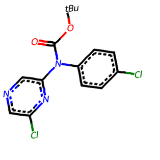 CC(C)(C)OC(=O)N(c1ccc(Cl)cc1)c1cncc(Cl)n1